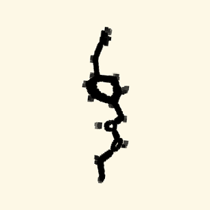 CCOOCc1ccc(CBr)cc1